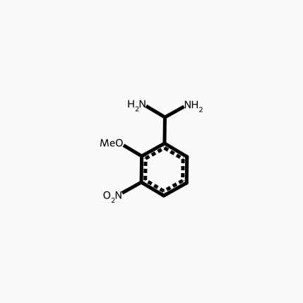 COc1c(C(N)N)cccc1[N+](=O)[O-]